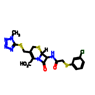 Cn1nnnc1SCC1=C(C(=O)O)N2C(=O)C(NC(=O)CSc3cccc(Cl)c3)[C@H]2SC1